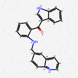 O=C(c1ccccc1NCc1ccc2ncccc2c1)c1c[nH]c2ccccc12